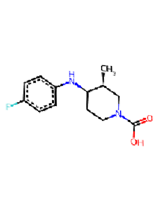 C[C@H]1CN(C(=O)O)CC[C@H]1Nc1ccc(F)cc1